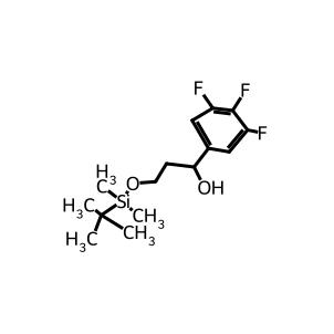 CC(C)(C)[Si](C)(C)OCCC(O)c1cc(F)c(F)c(F)c1